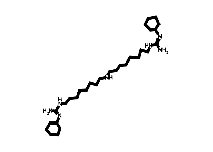 NC(=NC1CCCCC1)NCCCCCCCCNCCCCCCCCNC(N)=NC1CCCCC1